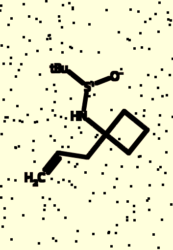 C=CCC1(N[S+]([O-])C(C)(C)C)CCC1